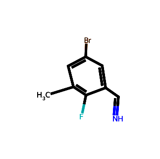 Cc1cc(Br)cc(C=N)c1F